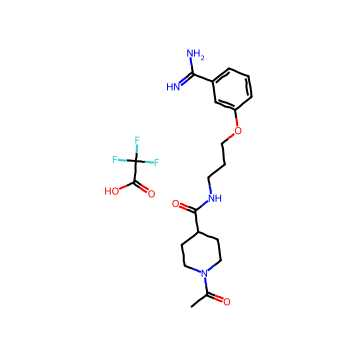 CC(=O)N1CCC(C(=O)NCCCOc2cccc(C(=N)N)c2)CC1.O=C(O)C(F)(F)F